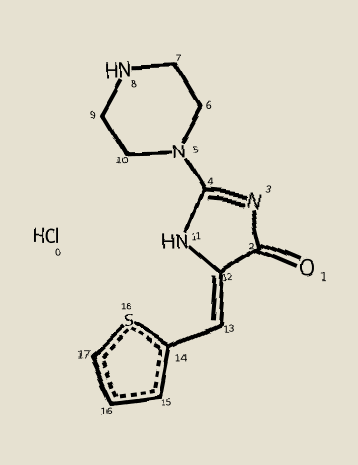 Cl.O=C1N=C(N2CCNCC2)N/C1=C\c1cccs1